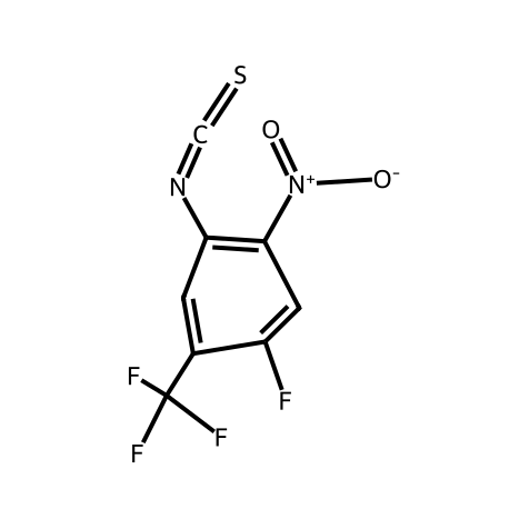 O=[N+]([O-])c1cc(F)c(C(F)(F)F)cc1N=C=S